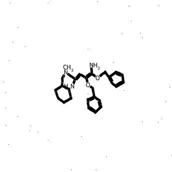 CN(CC1CCCCC1)/C(N)=C/C(OCc1ccccc1)=C(\N)OCc1ccccc1